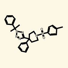 Cc1ccc(S(=O)(=O)N2CCC(c3ccccc3)(c3nnn(C(C)(C)c4ccccc4)n3)CC2)cc1